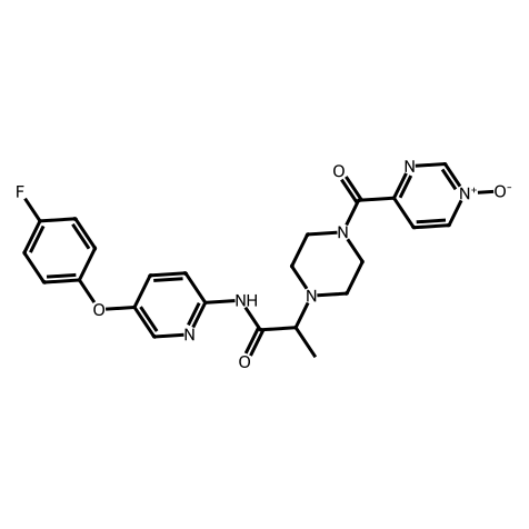 CC(C(=O)Nc1ccc(Oc2ccc(F)cc2)cn1)N1CCN(C(=O)c2cc[n+]([O-])cn2)CC1